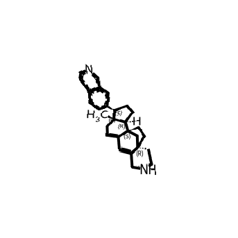 C[C@]12CC=C3C=C4CNCC[C@]45CC[C@]3(C5)[C@@H]1CC[C@@H]2c1ccc2ccncc2c1